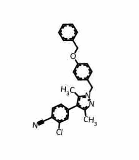 Cc1nn(Cc2ccc(OCc3ccccc3)cc2)c(C)c1-c1ccc(C#N)c(Cl)c1